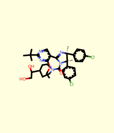 CCOc1nc(C(C)(C)C)ncc1C1=N[C@@](C)(c2ccc(Cl)cc2)[C@@](C)(c2ccc(Cl)cc2)N1C(=O)N1CCC(C(O)CO)CC1